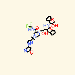 COc1cncc(-n2ccc(C(C)(C)N3CCN(C[C@@H](O)CC(Cc4ccccc4)C(=O)N[C@H]4c5ccccc5OC[C@H]4O)[C@H](C(=O)NCC(F)(F)F)C3)n2)c1